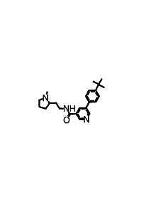 CN1CCCC1CCNC(=O)c1cncc(-c2ccc(C(C)(C)C)cc2)c1